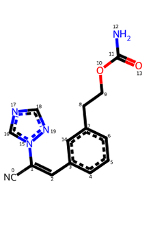 N#CC(=Cc1cccc(CCOC(N)=O)c1)n1cncn1